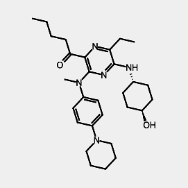 CCCCC(=O)c1nc(CC)c(N[C@H]2CC[C@H](O)CC2)nc1N(C)c1ccc(N2CCCCC2)cc1